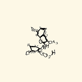 CC(=Cc1ccc(Br)cc1)C(=O)Nc1ccc(Cl)cc1C(=O)O